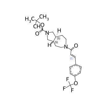 CC(C)(C)OC(=O)N1C[C@H]2CCN(C(=O)/C=C/c3ccc(OC(F)(F)F)cc3)CC[C@@H]2C1